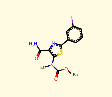 CCN(C(=O)OC(C)(C)C)c1sc(-c2cccc(I)c2)nc1C(N)=O